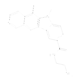 Cc1c2ccncc2cc2c3cc(C(=O)N[C@@H](C)CN)ccc3n(C)c12